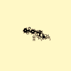 CC(C)(N)CCn1cnc(C(=O)Nc2ccc(NC(=O)c3ccccc3Cl)cc2)c1C(N)=O.Cl